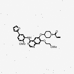 C=CC(=O)N1CCC(Oc2cc3c(Nc4cc(-c5ccco5)ccc4OC)ncnc3cc2OCCOC)CC1